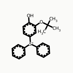 CC(C)(C)Oc1cc([S+](c2ccccc2)c2ccccc2)ccc1O